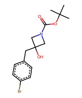 CC(C)(C)OC(=O)N1CC(O)(Cc2ccc(Br)cc2)C1